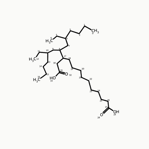 CCCCC(CC)CC(CC(CC)CCCC)C(CCCCCCCCCC(=O)O)CC(=O)O